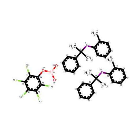 Cc1ccccc1[I+]C(C)(C)c1ccccc1.Cc1ccccc1[I+]C(C)(C)c1ccccc1.[O-]B([O-])Oc1c(F)c(F)c(F)c(F)c1F